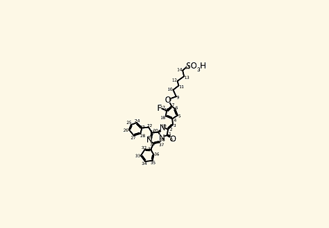 O=C1C(=Cc2ccc(OCCCCCCS(=O)(=O)O)c(F)c2)N=C2C(Cc3ccccc3)=NC(c3ccccc3)=CN12